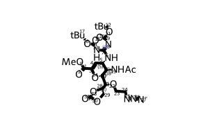 COC(=O)C1=C[C@H](N/C(=N/C(=O)OC(C)(C)C)NC(=O)OC(C)(C)C)[C@@H](NC(C)=O)[C@H]([C@H](OCCN=[N+]=[N-])[C@H]2COC(=O)O2)O1